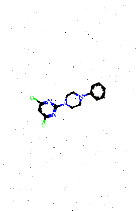 Clc1cc(Cl)nc(N2CCN(c3ccccc3)CC2)n1